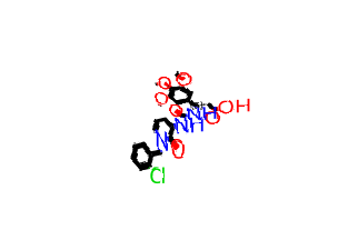 COc1cc([C@H](CC(=O)O)NC(=O)Nc2cccn(Cc3ccccc3Cl)c2=O)cc(OC)c1OC